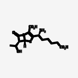 CC(O)[C@H]1C(=O)N2C(C(=O)O)=C([C@H](N)CCCCC(=O)O)S[C@H]12